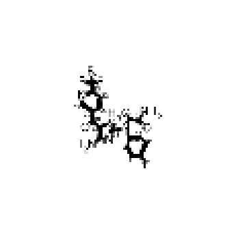 CC(C(N)=O)N(c1ccc(F)cc1)c1nc(N)c(C(=O)c2ccc(C(F)(F)F)nc2)s1